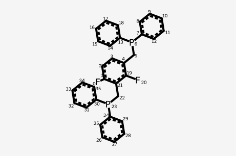 Fc1[c]cc(CP(c2ccccc2)c2ccccc2)c(F)c1CP(c1ccccc1)c1ccccc1